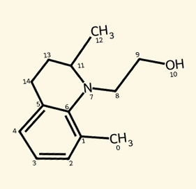 Cc1cccc2c1N(CCO)C(C)CC2